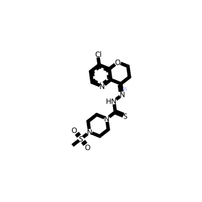 CS(=O)(=O)N1CCN(C(=S)N/N=C2/CCOc3c(Cl)ccnc32)CC1